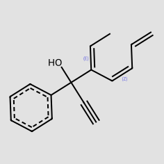 C#CC(O)(C(/C=C\C=C)=C/C)c1ccccc1